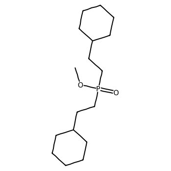 COP(=O)(CCC1CCCCC1)CCC1CCCCC1